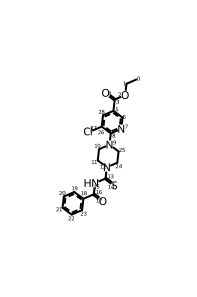 CCOC(=O)c1cnc(N2CCN(C(=S)NC(=O)c3ccccc3)CC2)c(Cl)c1